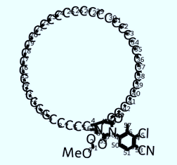 COCOCC1CCCCCCCCCCCCCCCCCCCCCCCCCCCCCCCCCCCCCCCCC12C(=O)N(c1ccc(C#N)c(Cl)c1C)C(=O)N2C